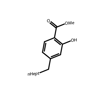 CCCCCCCCc1ccc(C(=O)OC)c(O)c1